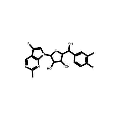 Cc1ncc2c(F)cn(C3OC(C(O)c4ccc(F)c(F)c4)C(O)C3O)c2n1